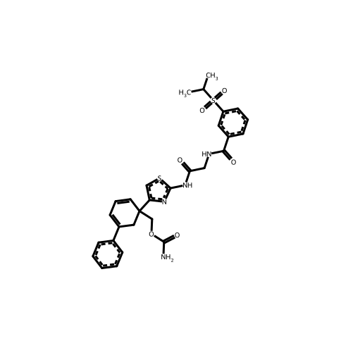 CC(C)S(=O)(=O)c1cccc(C(=O)NCC(=O)Nc2nc(C3(COC(N)=O)C=CC=C(c4ccccc4)C3)cs2)c1